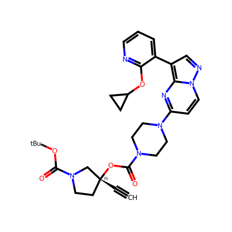 C#C[C@@]1(OC(=O)N2CCN(c3ccn4ncc(-c5cccnc5OC5CC5)c4n3)CC2)CCN(C(=O)OC(C)(C)C)C1